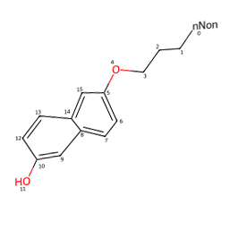 CCCCCCCCCCCCOc1ccc2cc(O)ccc2c1